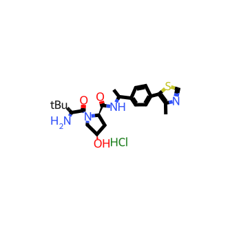 Cc1ncsc1-c1ccc(C(C)NC(=O)[C@H]2C[C@H](O)CN2C(=O)C(N)C(C)(C)C)cc1.Cl